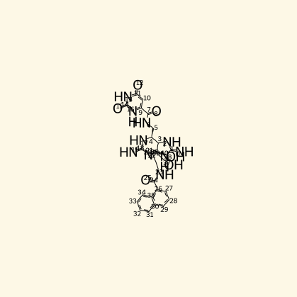 N=C1NC2[C@H](CNC(=O)c3cc(=O)[nH]c(=O)[nH]3)NC(=N)N3CC(NC(=O)c4cccc5ccccc45)C(O)(O)[C@]23N1